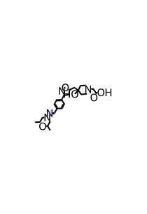 CC1CN(/N=C/c2ccc(C3=NOC(CC4(O)CCN(CC(=O)O)CC4)C3)cc2)CC(C)O1